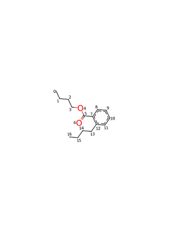 CCCCOC(=O)c1ccccc1CCCC